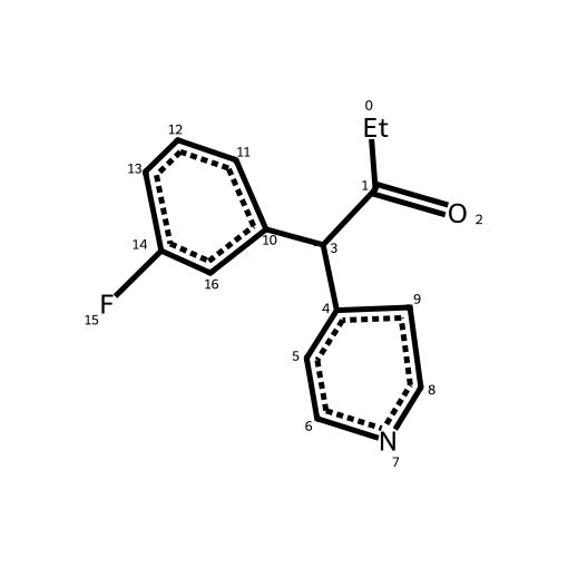 CCC(=O)[C](c1ccncc1)c1cccc(F)c1